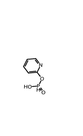 O=[PH](O)Oc1ccccn1